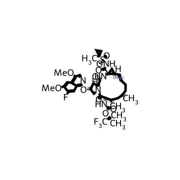 COc1cc2c(OC)cnc(O[C@@H]3C[C@H]4C(=O)N[C@]5(C(=O)NS(=O)(=O)C6(C)CC6)C[C@H]5/C=C/CC[C@@H](C)C[C@@H](C)[C@H](NC(=O)OC(C)(C)C(F)(F)F)C(=O)N4C3)c2cc1F